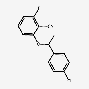 CC(Oc1cccc(F)c1C#N)c1ccc(Cl)cc1